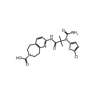 CC(C)(C(=O)Nc1ccc2c(n1)CCN(C(=O)O)CC2)N(C(N)=O)c1ccc(Cl)s1